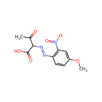 COc1ccc(N=NC(C(C)=O)C(=O)O)c([N+](=O)[O-])c1